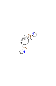 CC(C1CCCC(C(C)S(=S)c2ccccn2)C(C)(C)[C@@H](C)[C@@H](C)[C@@H](C)C1(C)C)S(=S)c1ccccn1